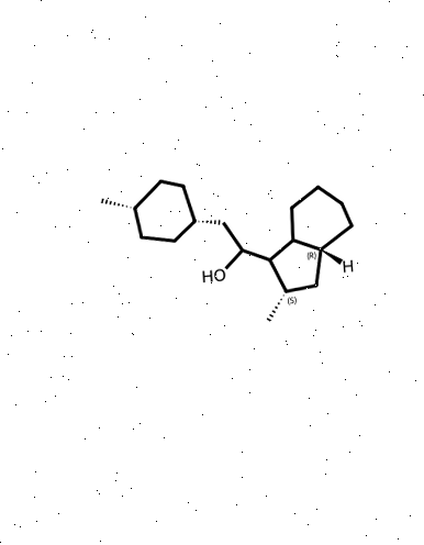 C[C@H]1C[C@H]2CCCCC2C1C(O)C[C@H]1CC[C@@H](C)CC1